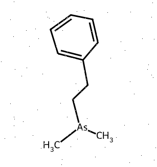 C[As](C)CCc1ccccc1